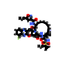 Cc1cc(C(=O)N[C@H]2CCCCC/C=C\[C@@H]3C[C@@]3(C(=O)NS(=O)(=O)C3(C)CC3)NC(=O)[C@@H]3C[C@@H](Oc4nc5c(F)cccc5nc4C)CN3C2=O)no1